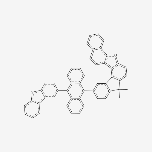 CC1(C)c2ccc(-c3c4ccccc4c(-c4ccc5sc6ccccc6c5c4)c4ccccc34)cc2-c2c1ccc1oc3c4ccccc4ccc3c21